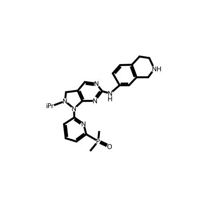 CC(C)N1Cc2cnc(Nc3ccc4c(c3)CNCC4)nc2N1c1cccc(P(C)(C)=O)n1